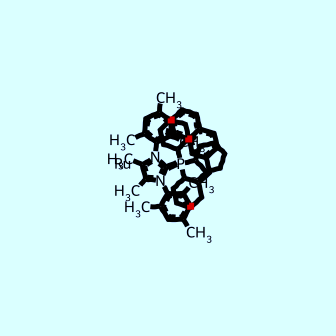 Cc1cc(C)c(-n2c(C)c(C)n(-c3c(C)cc(C)cc3C)c2=P(C2CCCCC2)(C2CCCCC2)C2CCCCC2=Cc2ccc3ccccc3c2)c(C)c1.[Ru]